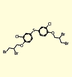 Clc1cc(Sc2ccc(OCC(Br)CBr)c(Cl)c2)ccc1OCC(Br)CBr